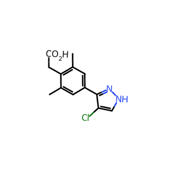 Cc1cc(-c2n[nH]cc2Cl)cc(C)c1CC(=O)O